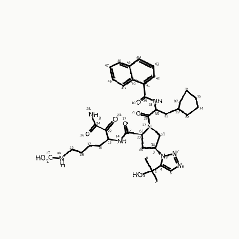 CC(C)(O)c1cnnn1[C@H]1C[C@@H](C(=O)NC(CCCCNC(=O)O)C(=O)C(N)=O)N(C(=O)C(CC2CCCCC2)NC(=O)c2cccc3ccccc23)C1